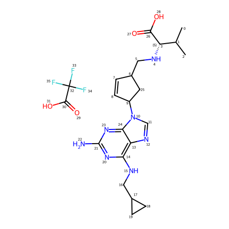 CC(C)[C@H](NCC1C=CC(n2cnc3c(NCC4CC4)nc(N)nc32)C1)C(=O)O.O=C(O)C(F)(F)F